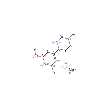 COc1cc(C2CCC(C)CN2)cc(C)n1.[BH4-].[Na+]